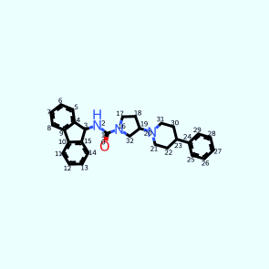 O=C(NC1c2ccccc2-c2ccccc21)N1CCC(N2CCC(c3ccccc3)CC2)C1